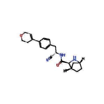 N#C[C@H](Cc1ccc(C2=CCOCC2)cc1)NC(=O)[C@H]1N[C@@H]2CC[C@H]1C2